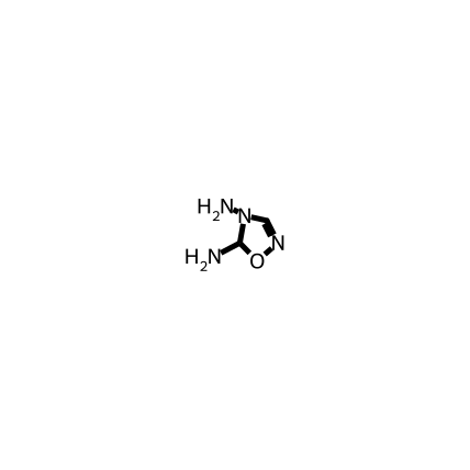 NC1ON=CN1N